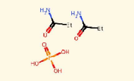 CCC(N)=O.CCC(N)=O.O=P(O)(O)O